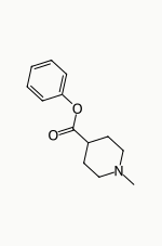 CN1CCC(C(=O)Oc2ccccc2)CC1